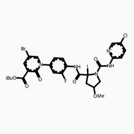 COC1CN(C(=O)Nc2ccc(Cl)cn2)C(I)(C(=O)Nc2ccc(-n3cc(Br)cc(C(=O)OCC(C)C)c3=O)cc2F)C1